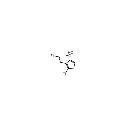 CCSCC1=[C]([Ti])CC=C1.Cl.Cl